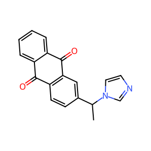 CC(c1ccc2c(c1)C(=O)c1ccccc1C2=O)n1ccnc1